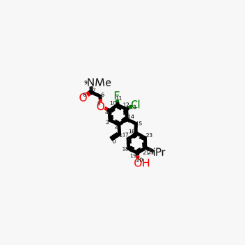 C=Cc1cc(OCC(=O)NC)c(F)c(Cl)c1Cc1ccc(O)c(C(C)C)c1